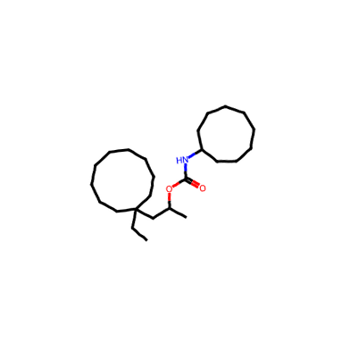 CCC1(CC(C)OC(=O)NC2CCCCCCCC2)CCCCCCCCC1